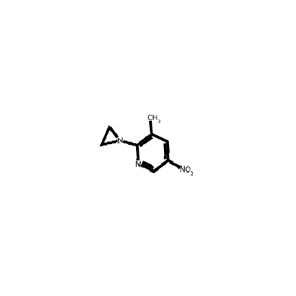 Cc1cc([N+](=O)[O-])cnc1N1CC1